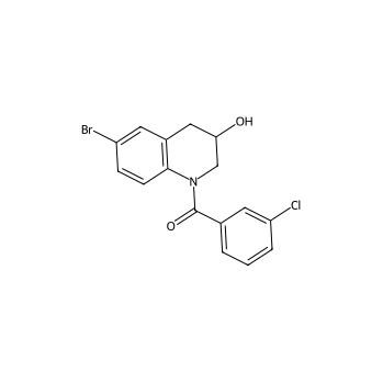 O=C(c1cccc(Cl)c1)N1CC(O)Cc2cc(Br)ccc21